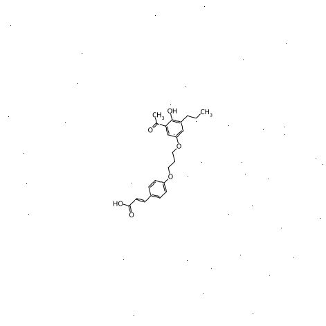 CCCc1cc(OCCCOc2ccc(C=CC(=O)O)cc2)cc(C(C)=O)c1O